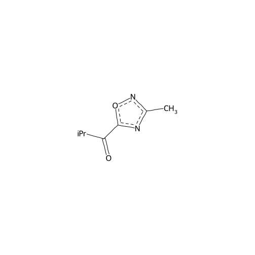 Cc1noc(C(=O)C(C)C)n1